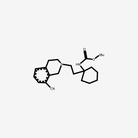 CC(C)(C)OC(=O)NC1(CCN2CCc3cccc(C#N)c3C2)CCCCC1